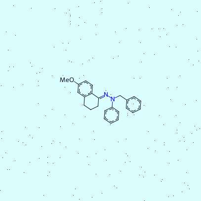 COc1ccc2c(c1)CCCC2=NN(Cc1ccccc1)c1ccccc1